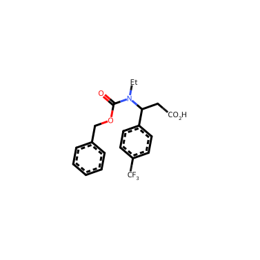 CCN(C(=O)OCc1ccccc1)C(CC(=O)O)c1ccc(C(F)(F)F)cc1